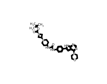 CC(C)(C)OC(=O)N1CC(N2CCC(NC(=O)Nc3ccc(-c4cc5c(N6CCOCC6)ncnc5[nH]4)cc3)CC2)C1